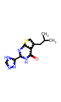 CC(C)Cc1csc2nc(-c3nnc[nH]3)[nH]c(=O)c12